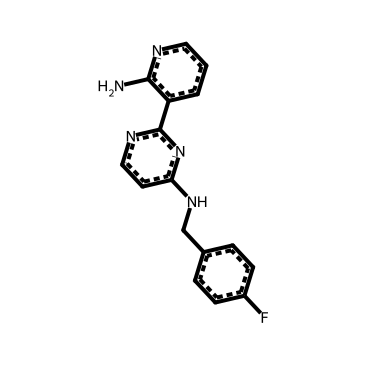 Nc1ncccc1-c1nccc(NCc2ccc(F)cc2)n1